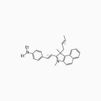 C/C=C/CC1(C)C(/C=C/c2ccc(N(CC)CC)cc2)=[N+](C)c2ccc3ccccc3c21